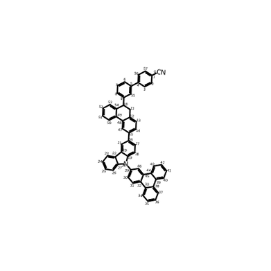 N#Cc1ccc(-c2cccc(C3Cc4ccc(-c5ccc6c(c5)c5ccccc5n6-c5ccc6c7ccccc7c7ccccc7c6c5)cc4-c4ccccc43)c2)cc1